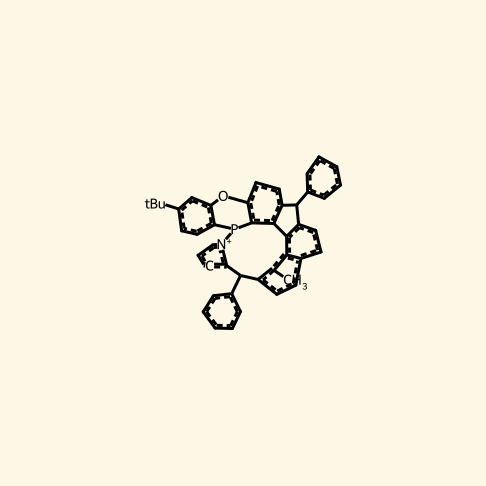 Cc1c2ccc3ccc4c(c13)-c1c(ccc3c1P(c1ccc(C(C)(C)C)cc1O3)[n+]1ccccc1C2c1ccccc1)C4c1ccccc1